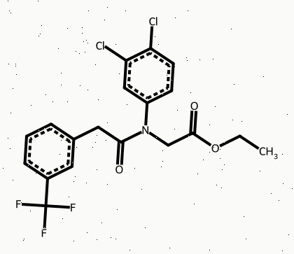 CCOC(=O)CN(C(=O)Cc1cccc(C(F)(F)F)c1)c1ccc(Cl)c(Cl)c1